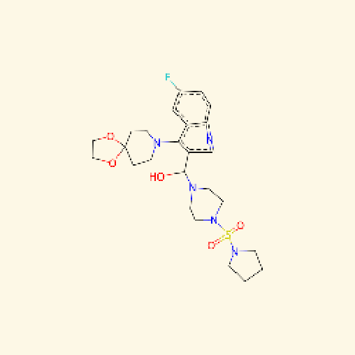 O=S(=O)(N1CCCC1)N1CCN(C(O)c2cnc3ccc(F)cc3c2N2CCC3(CC2)OCCO3)CC1